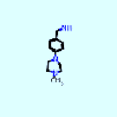 CN1CCN(c2ccc(C[NH])cc2)CC1